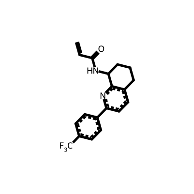 C=CC(=O)NC1CCCc2ccc(-c3ccc(C(F)(F)F)cc3)nc21